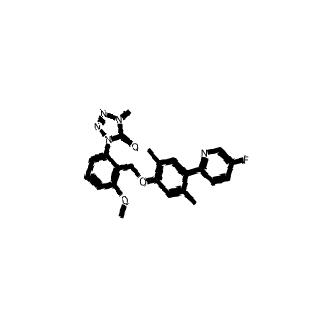 COc1cccc(-n2nnn(C)c2=O)c1COc1cc(C)c(-c2ccc(F)cn2)cc1C